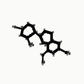 CCOc1nc(N)nc2ccc(-c3ccc(F)cc3C)nc12